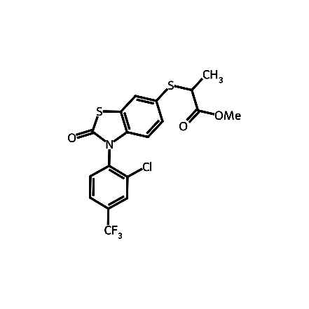 COC(=O)C(C)Sc1ccc2c(c1)sc(=O)n2-c1ccc(C(F)(F)F)cc1Cl